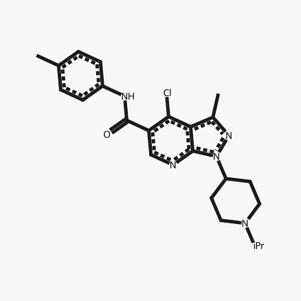 Cc1ccc(NC(=O)c2cnc3c(c(C)nn3C3CCN(C(C)C)CC3)c2Cl)cc1